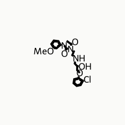 COc1cccc(N2CC(=O)N(CCNCC(O)COc3ccccc3Cl)C2=O)c1